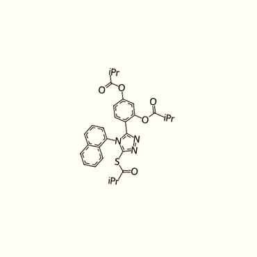 CC(C)C(=O)Oc1ccc(-c2nnc(SC(=O)C(C)C)n2-c2cccc3ccccc23)c(OC(=O)C(C)C)c1